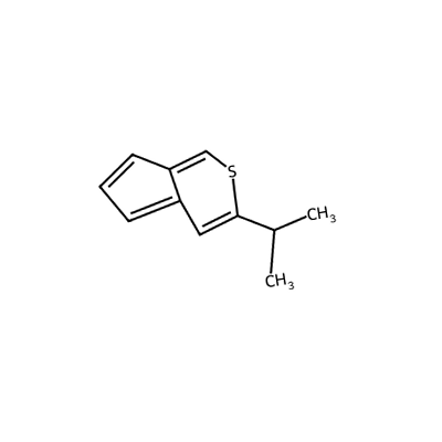 CC(C)c1cc2cccc-2cs1